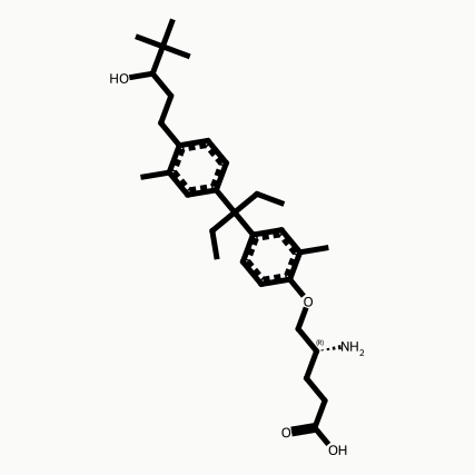 CCC(CC)(c1ccc(CCC(O)C(C)(C)C)c(C)c1)c1ccc(OC[C@H](N)CCC(=O)O)c(C)c1